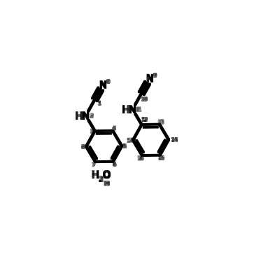 N#CNc1ccccc1.N#CNc1ccccc1.O